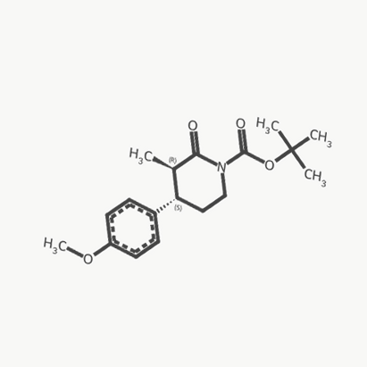 COc1ccc([C@H]2CCN(C(=O)OC(C)(C)C)C(=O)[C@@H]2C)cc1